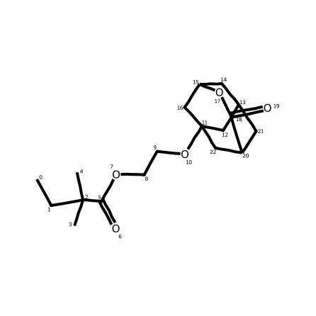 CCC(C)(C)C(=O)OCCOC12CC3CC(C1)OC(=O)C(C3)C2